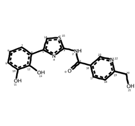 O=C(Nc1nc(-c2cccc(O)c2O)cs1)c1ccc(CO)nc1